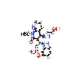 CCCCn1c(=O)c(C2=NS(O)(O)c3ccccc3N2)c(NCCO)c2cccnc21